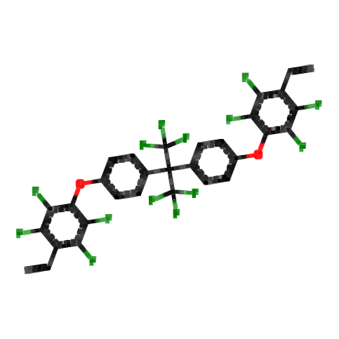 C=Cc1c(F)c(F)c(Oc2ccc(C(c3ccc(Oc4c(F)c(F)c(C=C)c(F)c4F)cc3)(C(F)(F)F)C(F)(F)F)cc2)c(F)c1F